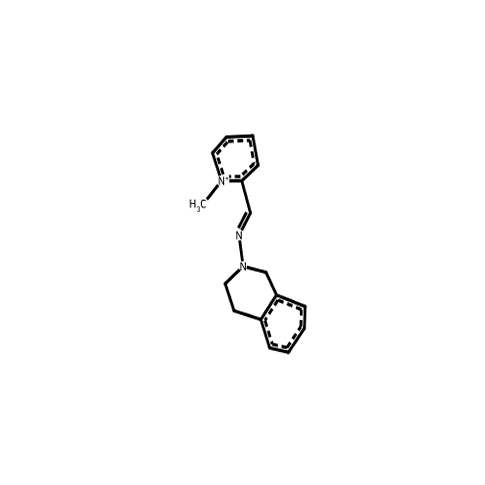 C[n+]1ccccc1C=NN1CCc2ccccc2C1